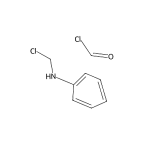 ClCNc1ccccc1.O=CCl